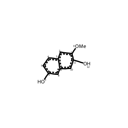 COc1cc2ccc(O)cc2cc1O